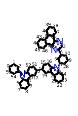 c1ccc(-n2c3ccccc3c3cc(-c4ccc5c(c4)c4ccccc4n5-c4cccc(-c5cnc6c7ccccc7c7ccccc7c6n5)c4)ccc32)cc1